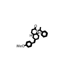 COc1ccc(C=C2CC[C@@H]3[C@H](CCC(=O)N3C(C)c3ccccc3)C2)cc1